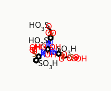 O=S(=O)(O)OCCS(=O)(=O)c1ccc(/N=N/c2c(O)c(/N=N/c3cc(SOOO)c4cccc(S(=O)(=O)O)c4c3)c(O)c(/N=N/c3ccc(S(=O)(=O)CCOSOOO)cc3S(=O)(=O)O)c2O)c(S(=O)(=O)O)c1